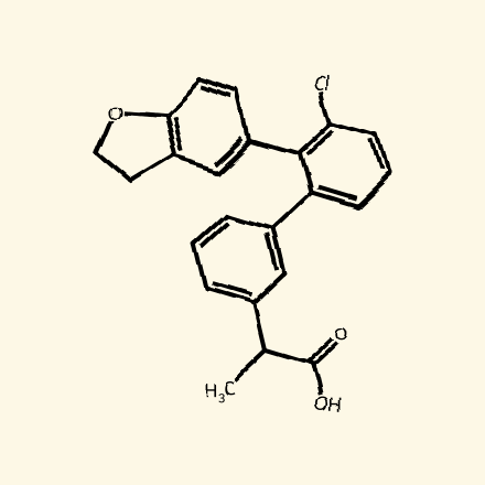 CC(C(=O)O)c1cccc(-c2cccc(Cl)c2-c2ccc3c(c2)CCO3)c1